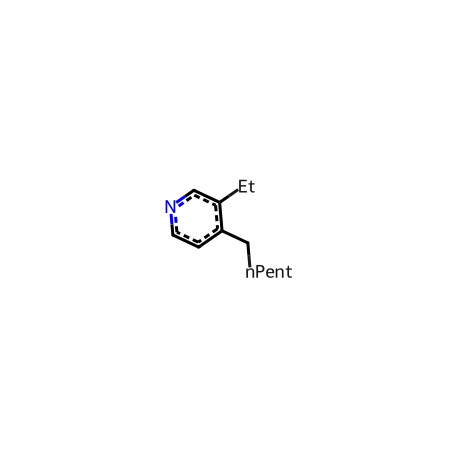 CCCCCCc1ccncc1CC